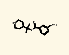 COc1cccc(C(=O)OC(C)(C)C2CCNCC2)c1